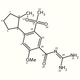 COc1cc(C2CCCC2C)c(S(C)(=O)=O)cc1C(=O)N=C(N)N